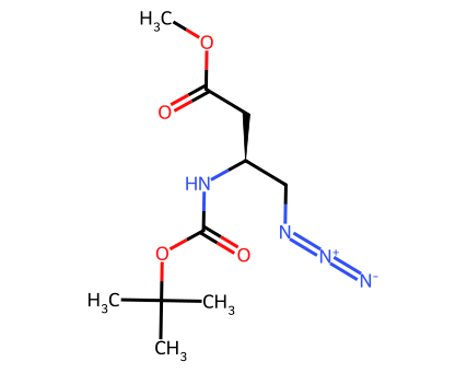 COC(=O)C[C@@H](CN=[N+]=[N-])NC(=O)OC(C)(C)C